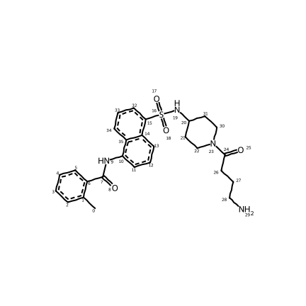 Cc1ccccc1C(=O)Nc1cccc2c(S(=O)(=O)NC3CCN(C(=O)CCCN)CC3)cccc12